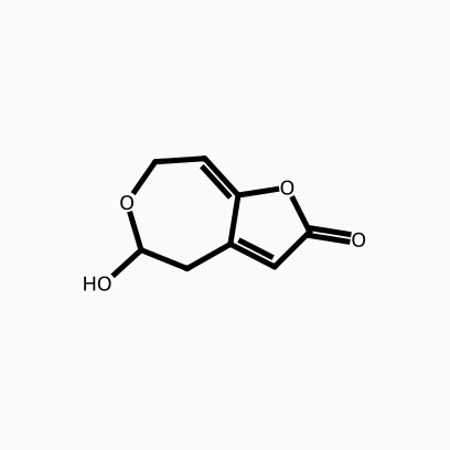 O=C1C=C2CC(O)OCC=C2O1